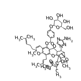 COC(=O)/C(C)=C\CC1(O)C(=O)C2CC(C(C)C)C13Oc1c(CC=C(C)C)c4c(c(OC(=O)c5ccc(O[C@@H]6O[C@H](CO)[C@@H](O)[C@H](O)[C@H]6O)cc5)c1C(=O)C3C2n1cnc(N)n1)C=CC(C)(CCC=C(C)C)O4